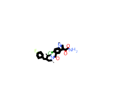 C[C@@H]1CC(Cc2ccc(F)cc2)[C@@H](C)CN1C(=O)c1cc2c(C(=O)C(N)=O)cn(C)c2cc1Cl